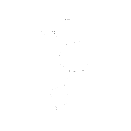 O=C(O)C1CCCN(C2CSC2)C1